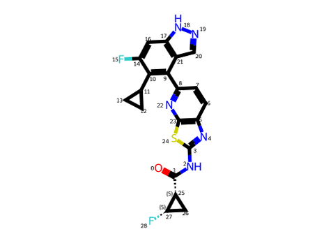 O=C(Nc1nc2ccc(-c3c(C4CC4)c(F)cc4[nH]ncc34)nc2s1)[C@@H]1C[C@@H]1F